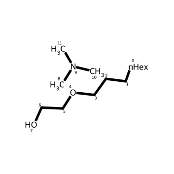 CCCCCCCCCOCCO.CN(C)C